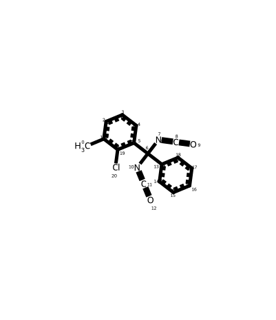 Cc1cccc(C(N=C=O)(N=C=O)c2ccccc2)c1Cl